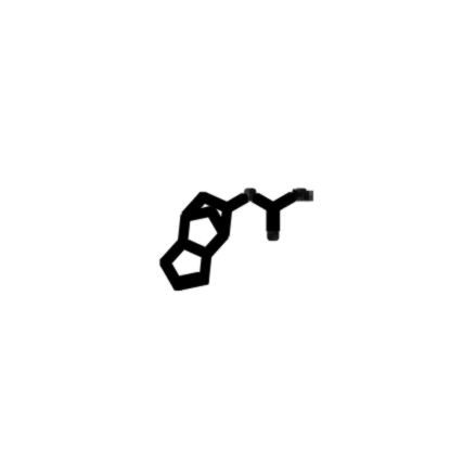 CC(C)(C)C(=O)OC1CC2CC1C1C=CCC21